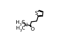 CN(C)C(=O)CCc1cccs1